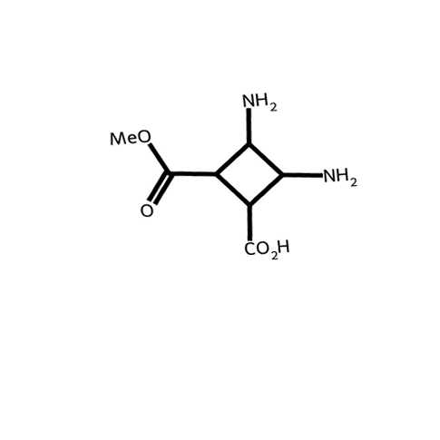 COC(=O)C1C(N)C(N)C1C(=O)O